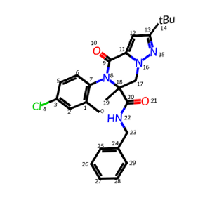 Cc1cc(Cl)ccc1N1C(=O)c2cc(C(C)(C)C)nn2CC1(C)C(=O)NCc1ccccc1